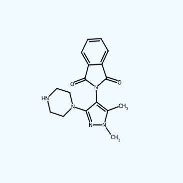 Cc1c(N2C(=O)c3ccccc3C2=O)c(N2CCNCC2)nn1C